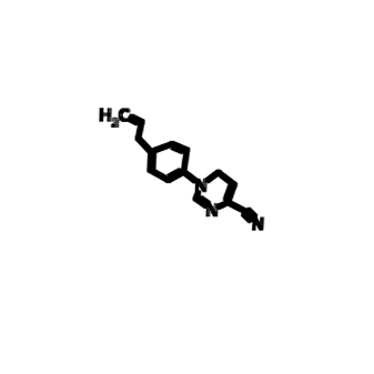 C=CCc1ccc(N2C=NC(C#N)=CC2)cc1